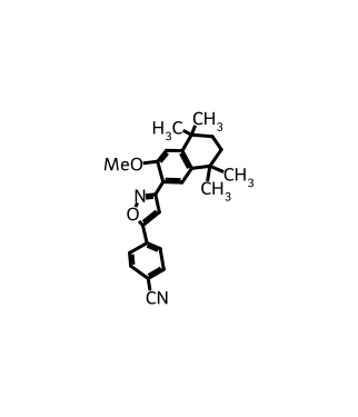 COc1cc2c(cc1-c1cc(-c3ccc(C#N)cc3)on1)C(C)(C)CCC2(C)C